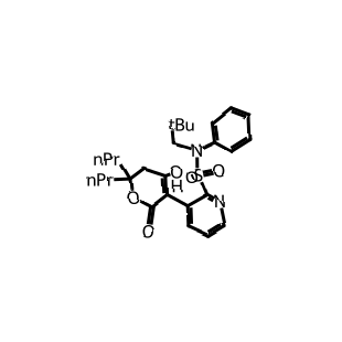 CCCC1(CCC)CC(O)=C(c2cccnc2S(=O)(=O)N(CC(C)(C)C)c2ccccc2)C(=O)O1